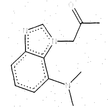 CC(=O)Cn1cnc2cccc(N(C)C)c21